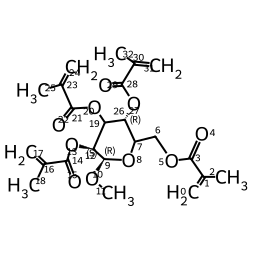 C=C(C)C(=O)OCC1O[C@@H](OC)[C@@H](OC(=O)C(=C)C)C(OC(=O)C(=C)C)[C@@H]1OC(=O)C(=C)C